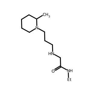 CCNC(=O)CNCCCN1CCCCC1C